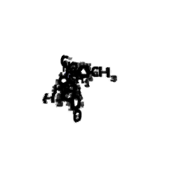 [C-]#[N+]/C(=C1\CC[C@H]2[C@@H]3CCC4=CC(=O)CC[C@]4(C)[C@H]3CC[C@]12C)S(=O)(=O)c1ccc(C)cc1